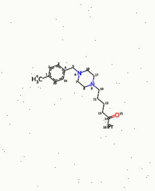 Cc1ccc(CN2CCN(CCCCC(=O)C(C)C)CC2)cc1